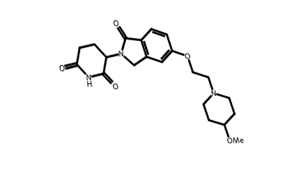 COC1CCN(CCOc2ccc3c(c2)CN(C2CCC(=O)NC2=O)C3=O)CC1